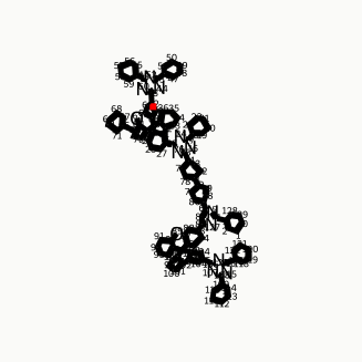 c1ccc(-c2nc(-c3ccc(-c4ccc(-c5nc(-c6ccccc6)nc(-c6cccc7c6-c6ccccc6C76c7ccc(-c8nc(-c9ccccc9)nc(-c9ccccc9)n8)cc7Oc7c(-c8ccccc8)cccc76)n5)cc4)cc3)cc(-c3ccc4c(c3)Oc3ccccc3C43c4ccccc4-c4cc(-c5nc(-c6ccccc6)nc(-c6ccccc6)n5)ccc43)n2)cc1